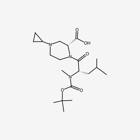 CC(C)C[C@@H](C(=O)N1CCN(C2CC2)C[C@@H]1C(=O)O)N(C)C(=O)OC(C)(C)C